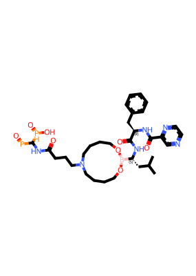 CC(C)C[C@@H](NC(=O)[C@@H](Cc1ccccc1)NC(=O)c1cnccn1)B1OCCCCN(CCCC(=O)NC(P=O)[PH](=O)O)CCCCO1